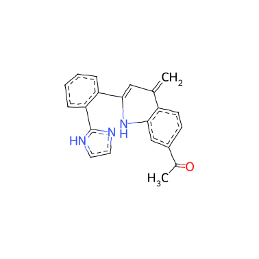 C=C1C=C(c2ccccc2-c2ncc[nH]2)Nc2cc(C(C)=O)ccc21